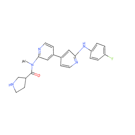 CC(=O)N(C(=O)C1CCNC1)c1cc(-c2ccnc(Nc3ccc(F)cc3)c2)ccn1